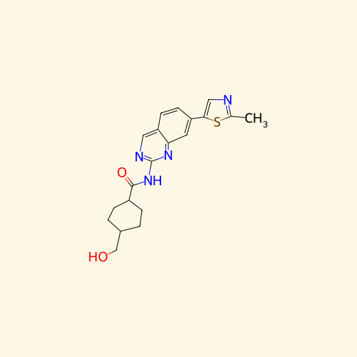 Cc1ncc(-c2ccc3cnc(NC(=O)C4CCC(CO)CC4)nc3c2)s1